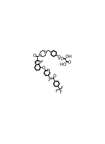 COc1ccc(CN2CCN(C(=O)c3cc4cccc(Oc5ccc(N(C)C(=O)c6ccc(C(F)(F)F)cc6)cn5)c4n3C)CC2)cc1.O=C(O)C(=O)O